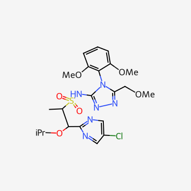 COCc1nnc(NS(=O)(=O)C(C)C(OC(C)C)c2ncc(Cl)cn2)n1-c1c(OC)cccc1OC